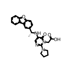 C[C@@H](Nc1cnc(N2CCCC2)n(CC(=O)O)c1=O)c1ccc2oc3ccccc3c2c1